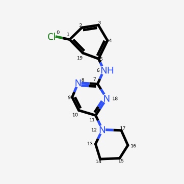 Clc1cccc(Nc2nccc(N3CCCCC3)n2)c1